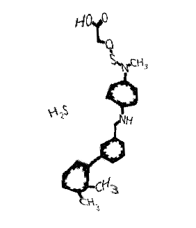 Cc1cccc(-c2cccc(CNc3ccc(N(C)SOCC(=O)O)cc3)c2)c1C.S